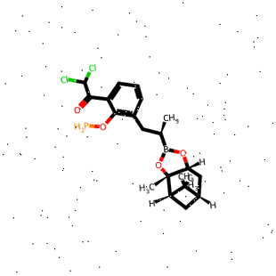 C[C@H](Cc1cccc(C(=O)C(Cl)Cl)c1OP)B1O[C@@H]2C[C@@H]3C[C@@H](C3(C)C)[C@]2(C)O1